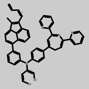 C=C/C=C\C1=C(C)c2ccc(-c3cccc(N(C(/C=C\CC)=C/CC)c4ccc(C5=CC(c6ccccn6)=NC(c6ccccn6)=CC5)cc4)c3)c3cccc1c23